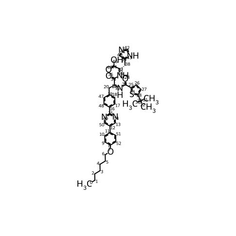 CCCCCCCOc1ccc(-c2cnc(-c3ccc(C[C@H](NC(=O)c4ccc(C(C)(C)C)s4)C(=O)N[C@@H](Cc4cnc[nH]4)C(=O)O)cc3)nc2)cc1